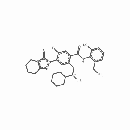 Cc1cccc(CN)c1NC(=O)c1cc(F)c(-n2nc3n(c2=O)CCCC3)cc1O[C@@H](C)C1CCCCC1